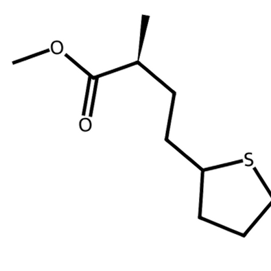 COC(=O)[C@@H](C)CCC1CCCS1